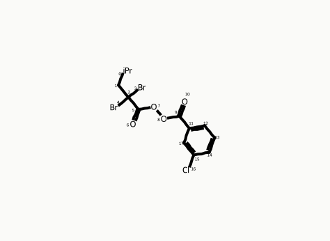 CC(C)CC(Br)(Br)C(=O)OOC(=O)c1cccc(Cl)c1